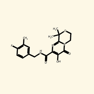 Cc1cc(CNC(=O)c2nc3n(c(=O)c2O)CCOC3(C)C)ccc1F